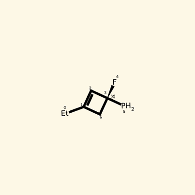 CCC1=C[C@](F)(P)C1